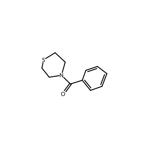 O=C(c1ccccc1)N1CCSCC1